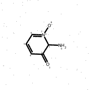 NC1C(=O)C=CC=[N+]1[O-]